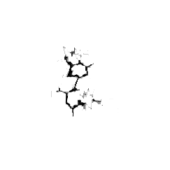 Cc1cc(-c2c(C(F)F)cc(C)c3nc(C(F)(F)F)nn23)cc2cn[nH]c12